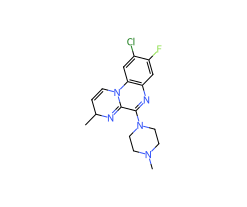 CC1C=CN2C(=N1)C(N1CCN(C)CC1)=Nc1cc(F)c(Cl)cc12